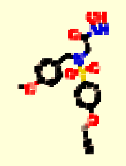 C#CCOc1ccc(S(=O)(=O)N(CC(=O)NO)Cc2ccc(OC)cc2)cc1